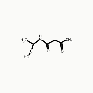 CC(=O)CC(=O)NC(C)CO